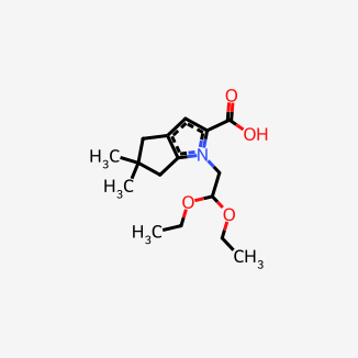 CCOC(Cn1c(C(=O)O)cc2c1CC(C)(C)C2)OCC